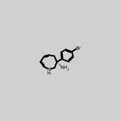 N[C@@]1(c2ccc(Br)cc2)C/C=C\C=C/NC1